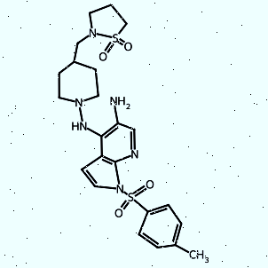 Cc1ccc(S(=O)(=O)n2ccc3c(NN4CCC(CN5CCCS5(=O)=O)CC4)c(N)cnc32)cc1